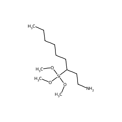 CCCCCCC(CCN)[Si](OC)(OC)OC